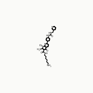 CCn1c(N)c(C(=O)NCCCCCCN)c(=O)c2ccc(-c3ccc(NC(=O)NCc4cccnc4)cc3)nc21